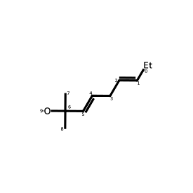 CCC=CCC=CC(C)(C)[O]